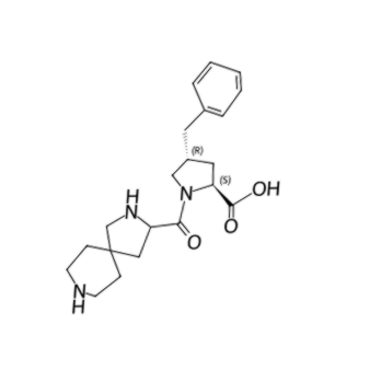 O=C(O)[C@@H]1C[C@@H](Cc2ccccc2)CN1C(=O)C1CC2(CCNCC2)CN1